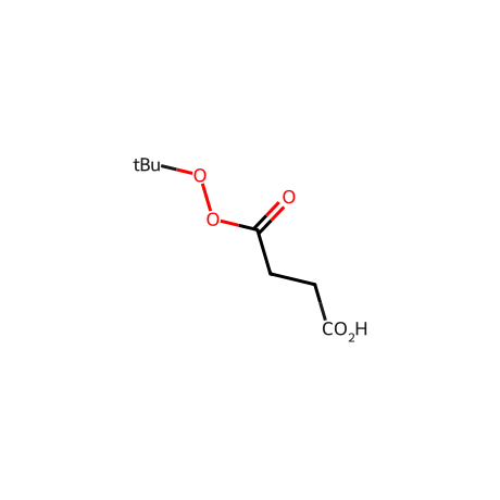 CC(C)(C)OOC(=O)CCC(=O)O